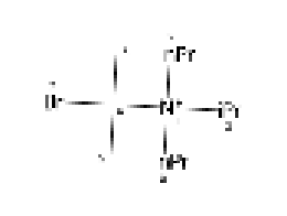 CCC[N+](CCC)(C(C)C)C(C)(C)Br